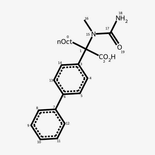 CCCCCCCCC(C(=O)O)(c1ccc(-c2ccccc2)cc1)N(C)C(N)=O